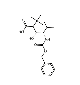 CC(C)[C@H](NC(=O)OCc1ccccc1)[C@H](O)C(C(=O)O)C(C)(C)C